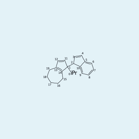 CC(C)C1(C2C=Cc3ccccc32)C=CC2=C1CCCCC2